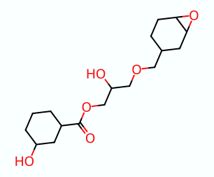 O=C(OCC(O)COCC1CCC2OC2C1)C1CCCC(O)C1